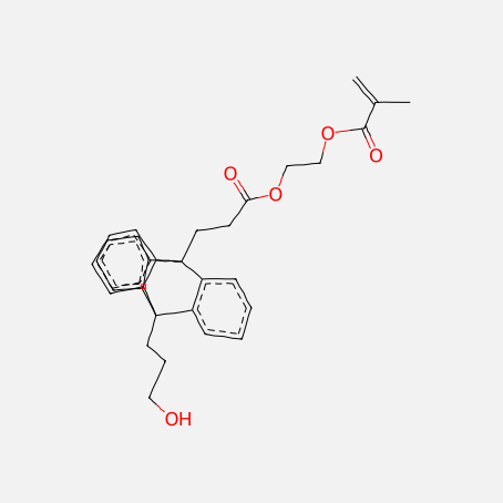 C=C(C)C(=O)OCCOC(=O)CCC12c3ccccc3C(CCCO)(c3ccccc31)c1ccccc12